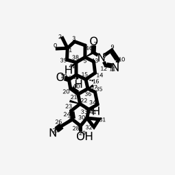 CC1(C)CC[C@]2(C(=O)n3ccnc3)CC[C@]3(C)[C@H](C(=O)C=C4[C@@]5(C)C=C(C#N)C(O)C6(CC6)[C@@H]5CC[C@]43C)[C@@H]2C1